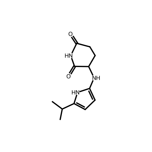 CC(C)c1ccc(NC2CCC(=O)NC2=O)[nH]1